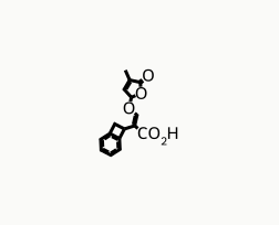 CC1=CC(O/C=C(/C(=O)O)C2Cc3ccccc32)OC1=O